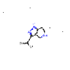 CCC(CC)c1n[nH]c2c1CNCC2